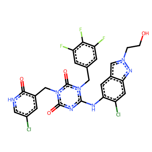 O=c1[nH]cc(Cl)cc1Cn1c(=O)nc(Nc2cc3cn(CCO)nc3cc2Cl)n(Cc2cc(F)c(F)c(F)c2)c1=O